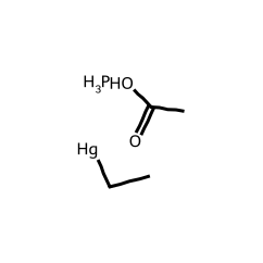 CC(=O)O.C[CH2][Hg].P